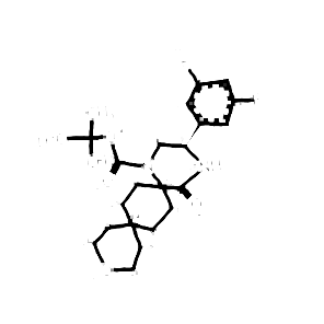 CC(C)(C)OC(=O)N1C[C@@H](c2cc(F)cc(F)c2)NC(=O)C12CCC1(CCOCC1)CC2